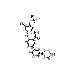 O=C1Nc2cc(OC(F)(F)F)c(Cl)cc2Oc2ccc(-c3ccnc(N4CCNCC4)c3)cc21